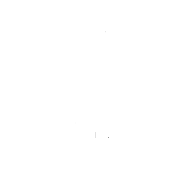 O=C(O)c1cc(C=Cc2ccc(Cl)c(C(F)(F)F)c2)ccc1NC(=O)C1CC1